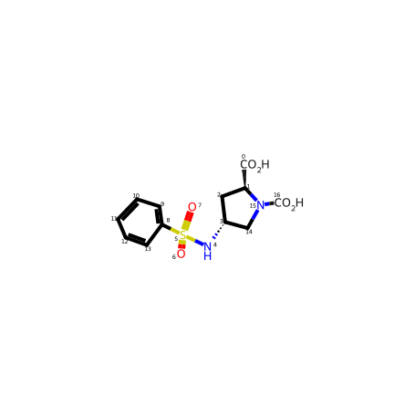 O=C(O)[C@@H]1C[C@@H](NS(=O)(=O)c2ccccc2)CN1C(=O)O